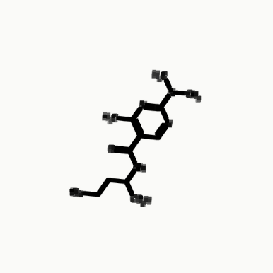 Cc1nc(N(C)C)ncc1C(=O)NC(CCC(C)(C)C)C(=O)O